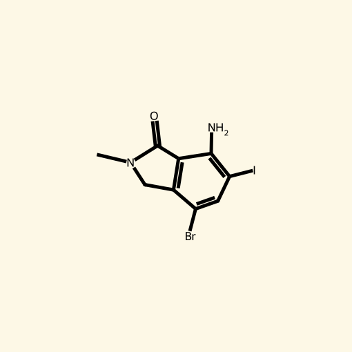 CN1Cc2c(Br)cc(I)c(N)c2C1=O